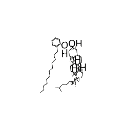 CC(C)CCC[C@@H](C)[C@H]1CC[C@H]2[C@@H]3CC=C4C[C@@H](O)CC[C@]4(C)[C@H]3CC[C@]12C.CCCCCCCCCCCCc1ccccc1O